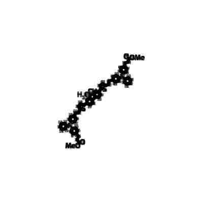 COC(=O)CCc1ccc(N(c2ccccc2)c2ccc(/C=C/c3ccc(-c4ccc5c(c4)C(C)(C)c4cc(-c6ccc(/C=C/c7ccc(N(c8ccccc8)c8ccc(CCC(=O)OC)cc8)cc7)s6)ccc4-5)s3)cc2)cc1